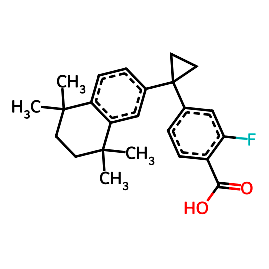 CC1(C)CCC(C)(C)c2cc(C3(c4ccc(C(=O)O)c(F)c4)CC3)ccc21